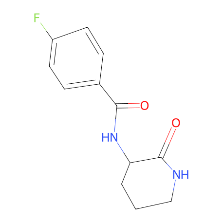 O=C(NC1CCCNC1=O)c1ccc(F)cc1